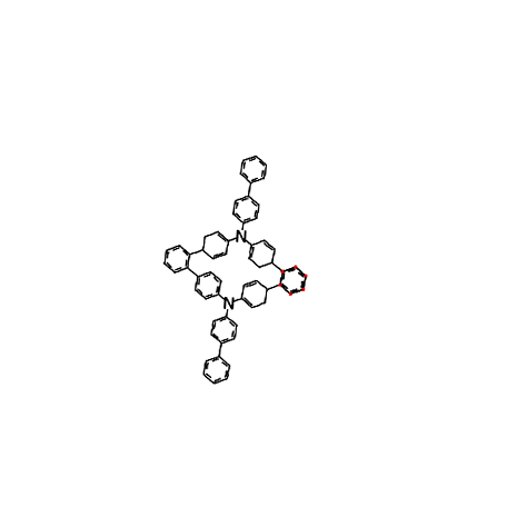 C1=CC(c2ccccc2)CC=C1N(C1=CCC(c2ccccc2-c2ccc(N(C3=CCC(c4ccccc4)C=C3)c3ccc(-c4ccccc4)cc3)cc2)C=C1)c1ccc(-c2ccccc2)cc1